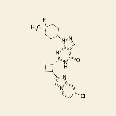 CC1(F)CCC(n2ncc3c(=O)[nH]c([C@H]4CC[C@@H]4c4cn5ccc(Cl)cc5n4)nc32)CC1